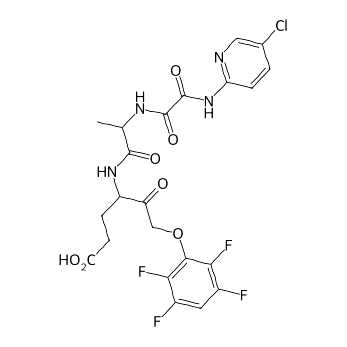 CC(NC(=O)C(=O)Nc1ccc(Cl)cn1)C(=O)NC(CCC(=O)O)C(=O)COc1c(F)c(F)cc(F)c1F